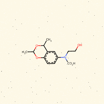 CC1Oc2ccc(N(CCO)C(=O)O)cc2C(C)O1